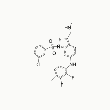 CNCc1cn(S(=O)(=O)c2cccc(Cl)c2)c2cc(Nc3ccc(C)c(F)c3F)ccc12